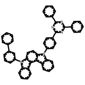 c1ccc(-c2cccc(-n3c4ccccc4c4c5c6ccccc6n(-c6ccc(-c7nc(-c8ccccc8)nc(-c8ccccc8)n7)cc6)c5ccc43)c2)cc1